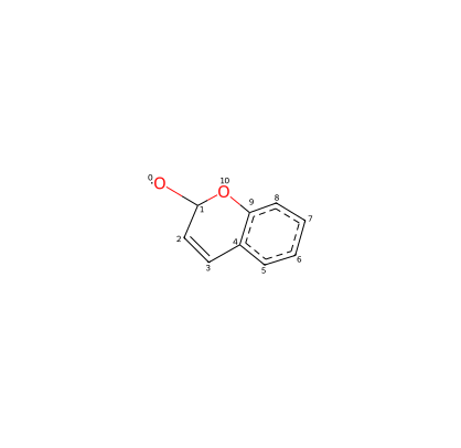 [O]C1C=Cc2ccccc2O1